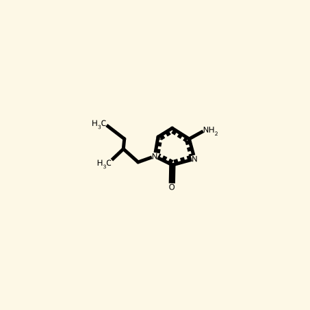 CCC(C)Cn1ccc(N)nc1=O